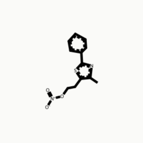 Cc1nc(-c2ccccc2)sc1CCO[N+](=O)[O-]